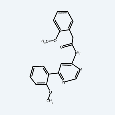 COc1ccccc1CC(=O)Nc1cc(-c2ccccc2OC)ncn1